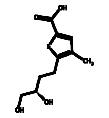 Cc1cc(C(=O)O)sc1CC[C@H](O)CO